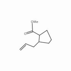 C=CCC1CCCC1C(=O)OC